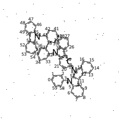 c1ccc(-n2c3ccccc3c3c4ccccc4n(-c4ccc5c(c4)c4ccccc4n5-c4ccccc4-c4ccccc4-n4c5ccccc5c5ccccc54)c32)cc1